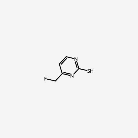 FCc1ccnc(S)n1